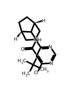 CC(C)(C)OC(=O)NC1[C@@H]2CC[C@H]1CN(c1cc(Cl)ncn1)C2